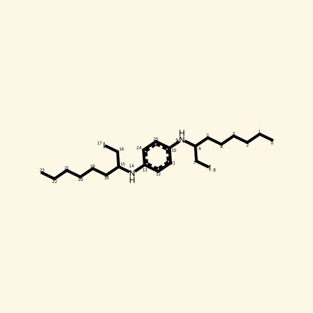 CCCCCCC(CI)Nc1ccc(NC(CI)CCCCCC)cc1